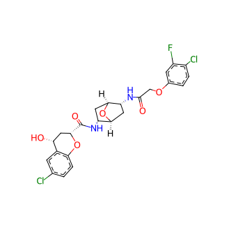 O=C(COc1ccc(Cl)c(F)c1)N[C@@H]1C[C@@H]2O[C@H]1C[C@H]2NC(=O)[C@H]1C[C@@H](O)c2cc(Cl)ccc2O1